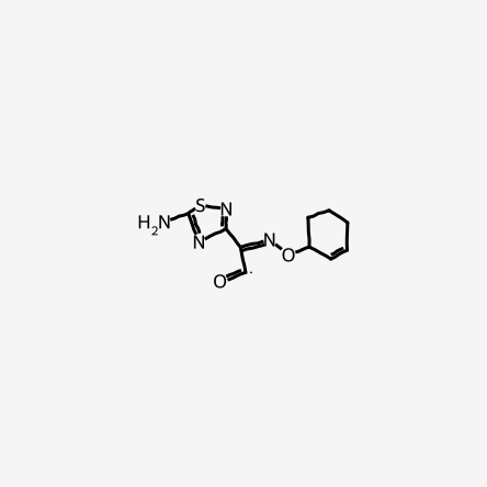 Nc1nc(C([C]=O)=NOC2C=CCCC2)ns1